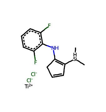 C[SiH](C)C1=C(Nc2c(F)cccc2F)CC=C1.[Cl-].[Cl-].[Ti+2]